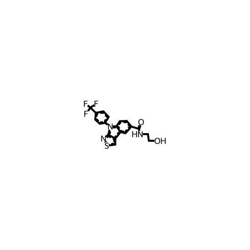 O=C(NCCO)c1ccc2c(c1)c1csnc1n2-c1ccc(C(F)(F)F)cc1